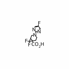 O=C(O)C12CCN(c3ncc(F)cn3)CC1C2(F)F